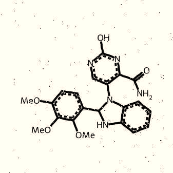 COc1ccc(C2Nc3ccccc3N2c2cnc(O)nc2C(N)=O)c(OC)c1OC